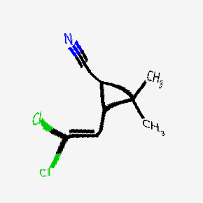 CC1(C)C(C#N)C1C=C(Cl)Cl